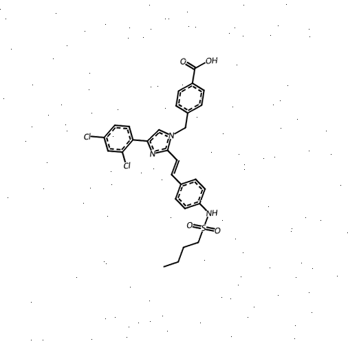 CCCCS(=O)(=O)Nc1ccc(/C=C/c2nc(-c3ccc(Cl)cc3Cl)cn2Cc2ccc(C(=O)O)cc2)cc1